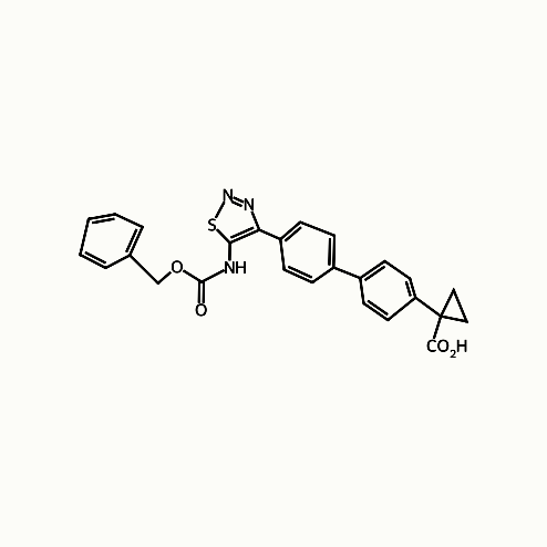 O=C(Nc1snnc1-c1ccc(-c2ccc(C3(C(=O)O)CC3)cc2)cc1)OCc1ccccc1